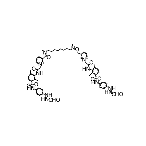 Cc1ccc(S(=O)(=O)Nc2ccc(NNC=O)cc2)c(C)c1NC(=O)C[n+]1cccc(CON(C)CCCCCCCCN(C)C(=O)c2ccc[n+](CC(=O)Nc3c(C)ccc(S(=O)(=O)Nc4ccc(NNC=O)cc4)c3C)c2)c1